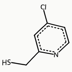 SCc1cc(Cl)ccn1